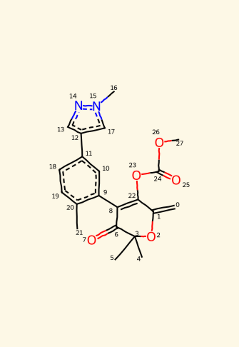 C=C1OC(C)(C)C(=O)C(c2cc(-c3cnn(C)c3)ccc2C)=C1OC(=O)OC